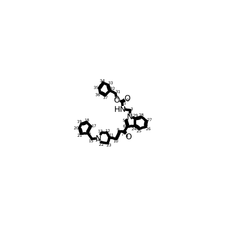 O=C(NCn1cc(C(=O)C=CC2CCN(Cc3ccccc3)CC2)c2ccccc21)OCc1ccccc1